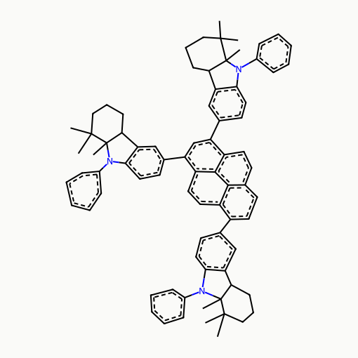 CC1(C)CCCC2c3cc(-c4ccc5ccc6c(-c7ccc8c(c7)C7CCCC(C)(C)C7(C)N8c7ccccc7)cc(-c7ccc8c(c7)C7CCCC(C)(C)C7(C)N8c7ccccc7)c7ccc4c5c67)ccc3N(c3ccccc3)C21C